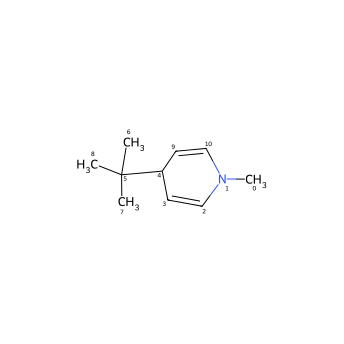 CN1C=CC(C(C)(C)C)C=C1